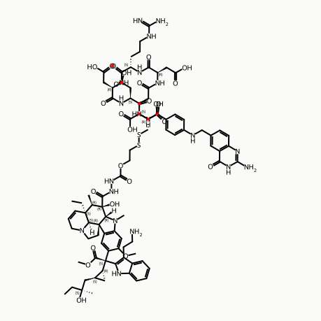 CC[C@](C)(O)C[C@@H]1C[C@H]1[C@](C(=O)OC)(c1cc2c(cc1OC)N(C)[C@H]1[C@@](O)(C(=O)NNC(=O)OCCSSC[C@H](NC(=O)[C@H](CC(=O)O)NC(=O)[C@@H](CC(=O)O)NC(=O)[C@H](CCCNC(=N)N)NC(=O)[C@@H](CC(=O)O)NC(=O)CC[C@H](NC(=O)c3ccc(NCc4ccc5nc(N)[nH]c(=O)c5c4)cc3)C(=O)O)C(=O)O)[C@H](C)[C@]3(CC)C=CCN4CC[C@]21[C@@H]43)c1[nH]c2ccccc2c1CCN